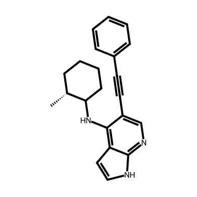 C[C@@H]1CCCCC1Nc1c(C#Cc2ccccc2)cnc2[nH]ccc12